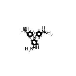 NNc1ccc(N(c2ccc(NN)cc2)c2ccc(NN)cc2)cc1